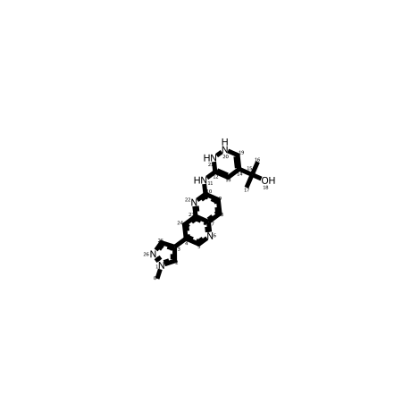 Cn1cc(-c2cnc3ccc(NC4=CC(C(C)(C)O)=CNN4)nc3c2)cn1